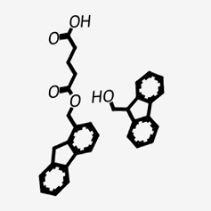 O=C(O)CCCC(=O)OCc1cccc2c1Cc1ccccc1-2.OCC1c2ccccc2-c2ccccc21